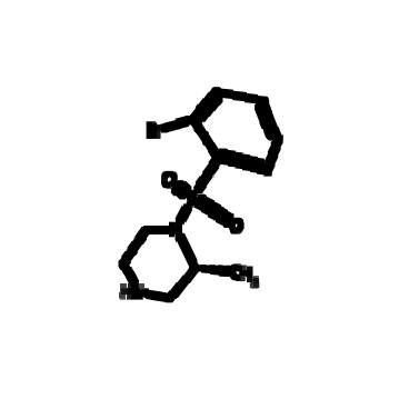 C[C@H]1CNCCN1S(=O)(=O)c1ccccc1Br